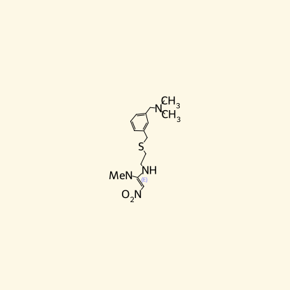 CN/C(=C\[N+](=O)[O-])NCCSCc1cccc(CN(C)C)c1